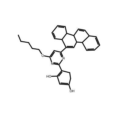 CCCCCOc1cc(C2=CC3C4C=CC=CC4C=CC3C3C=CC=CC23)nc(C2=C(O)C=C(O)CC2)n1